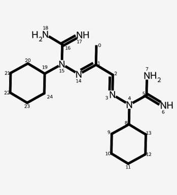 CC(C=NN(C(=N)N)C1CCCCC1)=NN(C(=N)N)C1CCCCC1